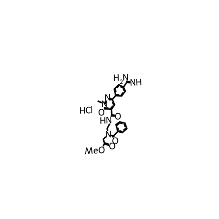 COC(=O)CN(CCNC(=O)c1cc(-c2ccc(C(=N)N)cc2)nn(C)c1=O)C(=O)c1ccccc1.Cl